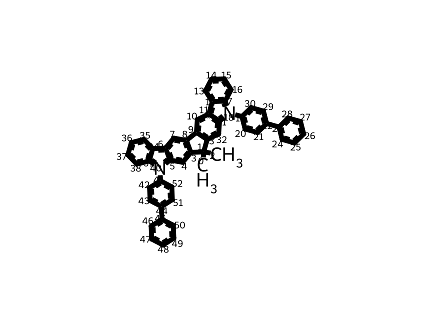 CC1(C)c2cc3c(cc2-c2cc4c5ccccc5n(-c5ccc(-c6ccccc6)cc5)c4cc21)c1ccccc1n3-c1ccc(-c2ccccc2)cc1